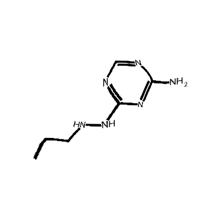 CCCNNc1ncnc(N)n1